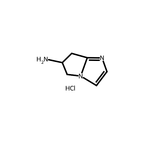 Cl.NC1Cc2nccn2C1